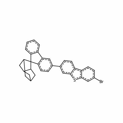 Brc1ccc2c(c1)sc1cc(-c3ccc4c(c3)-c3ccccc3C43C4CC5CC(C4)C3C5)ccc12